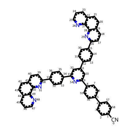 N#Cc1ccc(-c2ccc(-c3cc(-c4ccc(-c5ccc6ccc7cccnc7c6n5)cc4)cc(-c4ccc(-c5ccc6ccc7cccnc7c6n5)cc4)n3)cc2)cc1